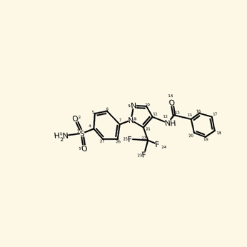 NS(=O)(=O)c1ccc(-n2ncc(NC(=O)c3ccccc3)c2C(F)(F)F)cc1